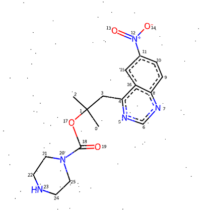 CC(C)(Cc1ncnc2ccc([N+](=O)[O-])cc12)OC(=O)N1CCNCC1